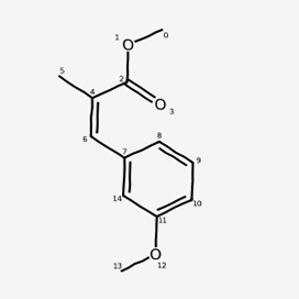 COC(=O)C(C)=Cc1cccc(OC)c1